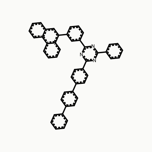 c1ccc(-c2ccc(-c3ccc(-c4nc(-c5ccccc5)nc(-c5cccc(-c6cc7ccccc7c7ccccc67)c5)n4)cc3)cc2)cc1